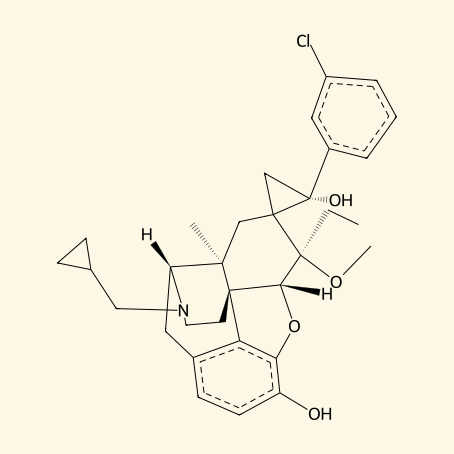 CC[C@]1(OC)[C@@H]2Oc3c(O)ccc4c3[C@@]23CCN(CC2CC2)[C@H](C4)[C@@]3(C)CC12C[C@@]2(O)c1cccc(Cl)c1